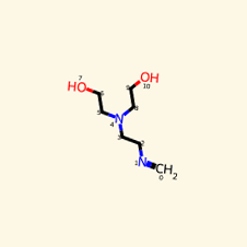 C=NCCN(CCO)CCO